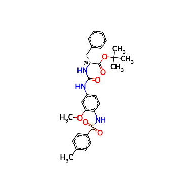 COc1cc(NC(=O)N[C@H](Cc2ccccc2)C(=O)OC(C)(C)C)ccc1NS(=O)(=O)c1ccc(C)cc1